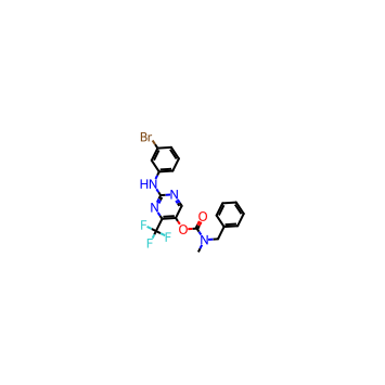 CN(Cc1ccccc1)C(=O)Oc1cnc(Nc2cccc(Br)c2)nc1C(F)(F)F